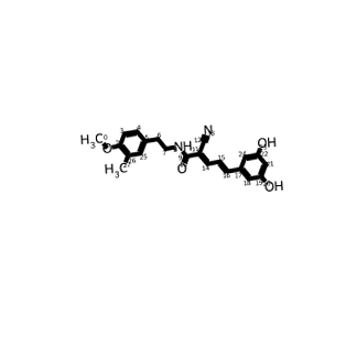 COc1ccc(CCNC(=O)/C(C#N)=C/C=C/c2cc(O)cc(O)c2)cc1C